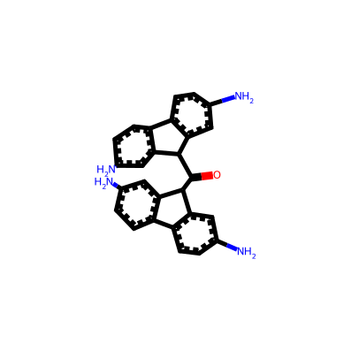 Nc1ccc2c(c1)C(C(=O)C1c3cc(N)ccc3-c3ccc(N)cc31)c1cc(N)ccc1-2